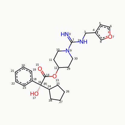 N=C(NCc1ccoc1)N1CCC(OC(=O)[C@](O)(c2ccccc2)C2CCCC2)CC1